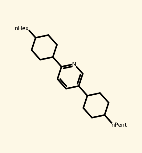 CCCCCCC1CCC(c2ccc(C3CCC(CCCCC)CC3)cn2)CC1